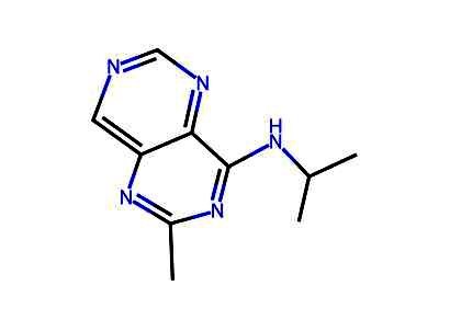 Cc1nc(NC(C)C)c2ncncc2n1